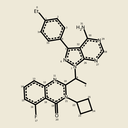 CCc1ccc(-c2nn(C(C)c3nc4cccc(F)c4c(=O)n3C3CCC3)c3ncnc(N)c23)cc1